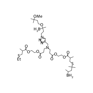 BC(C)CC(C)(C)SCC(C)C(=O)OCCOC(=O)CCN(CCC(=O)OCCOC(=O)C(C)CSCC)Cc1cn(CCC(B)(C)OCCC(C)(C)OC)nn1